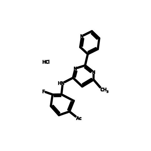 CC(=O)c1ccc(F)c(Nc2cc(C)nc(-c3cccnc3)n2)c1.Cl